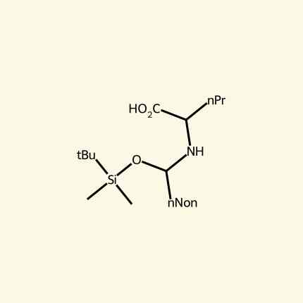 CCCCCCCCCC(NC(CCC)C(=O)O)O[Si](C)(C)C(C)(C)C